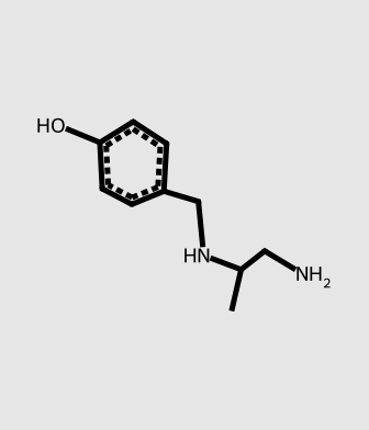 CC(CN)NCc1ccc(O)cc1